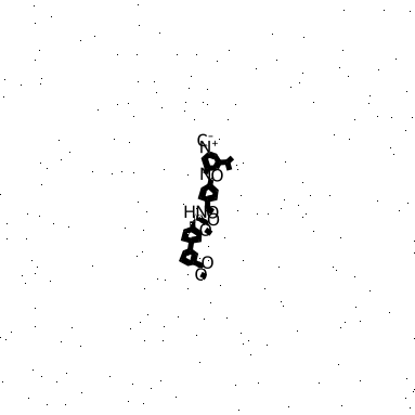 [C-]#[N+]c1cc(C(C)C)c2oc(-c3ccc(C(=O)N[C@@H](Cc4ccc(-c5cccc(C(=O)OC)c5)cc4)C(=O)OC)cc3)nc2c1